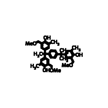 COCc1cc(C(C)(C)c2ccc(C(C)(c3cc(C)c(O)c(COC)c3)c3cc(C)c(O)c(COC)c3)cc2)cc(C)c1O